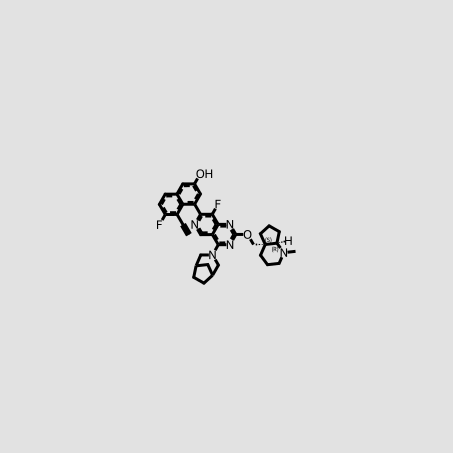 C#Cc1c(F)ccc2cc(O)cc(-c3ncc4c(N5CC6CCC(C6)C5)nc(OC[C@]56CCC[C@H]5N(C)CCC6)nc4c3F)c12